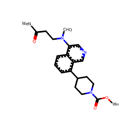 CNC(=O)CCN(C=O)c1cncc2c(C3CCN(C(=O)OC(C)(C)C)CC3)cccc12